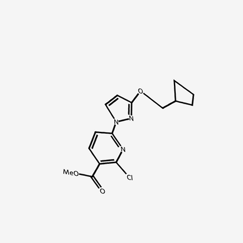 COC(=O)c1ccc(-n2ccc(OCC3CCC3)n2)nc1Cl